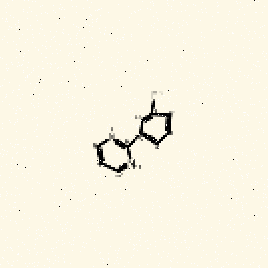 Fc1[c]ccc(-c2ncccn2)c1